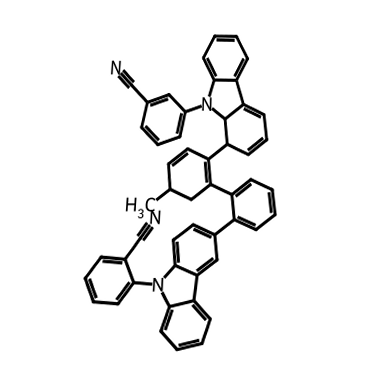 CC1C=CC(C2C=CC=C3c4ccccc4N(c4cccc(C#N)c4)C32)=C(c2ccccc2-c2ccc3c(c2)c2ccccc2n3-c2ccccc2C#N)C1